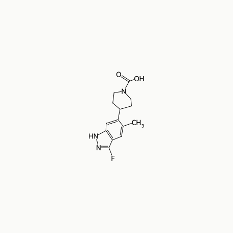 Cc1cc2c(F)n[nH]c2cc1C1CCN(C(=O)O)CC1